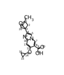 CC12CC(c3cn4cc(C(=O)O)c(OC5CC5)cc4n3)(CO1)C2